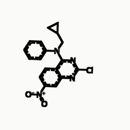 O=[N+]([O-])c1ccc2c(N(CC3CC3)c3ccccc3)nc(Cl)nc2c1